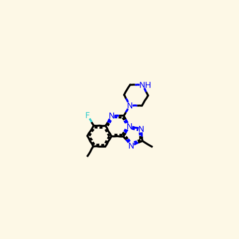 Cc1cc(F)c2nc(N3CCNCC3)n3nc(C)nc3c2c1